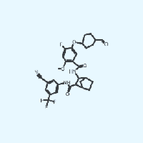 COc1cc(F)c(OC2CCC(C=O)CC2)cc1C(=O)NC1C2CCC(C2)C1C(=O)Nc1cc(C#N)cc(C(F)(F)F)c1